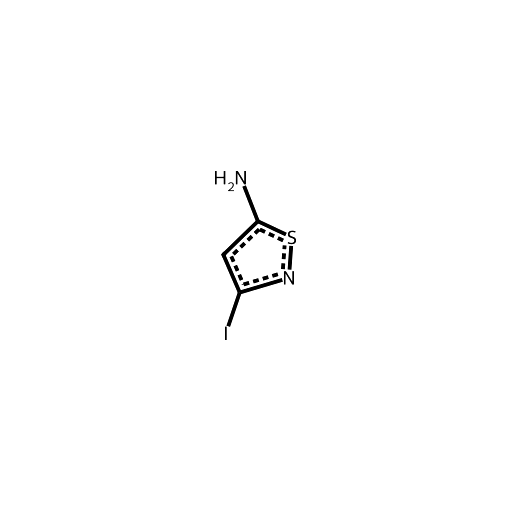 Nc1cc(I)ns1